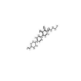 C=CC1CCC(c2ccc(-c3ccc(OCCCC)c(F)c3F)cc2)CC1